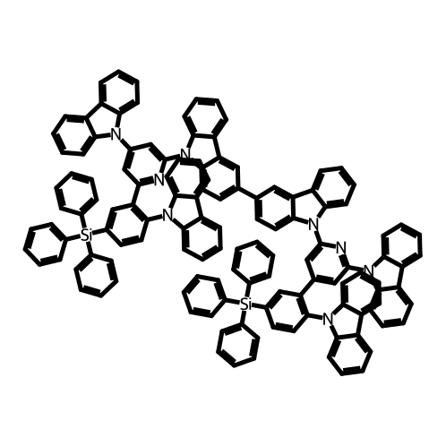 c1ccc([Si](c2ccccc2)(c2ccccc2)c2ccc(-n3c4ccccc4c4ccccc43)c(-c3cc(-n4c5ccccc5c5ccccc54)nc(-n4c5ccccc5c5cc(-c6ccc7c(c6)c6ccccc6n7-c6cc(-n7c8ccccc8c8ccccc87)cc(-c7cc([Si](c8ccccc8)(c8ccccc8)c8ccccc8)ccc7-n7c8ccccc8c8ccccc87)n6)ccc54)c3)c2)cc1